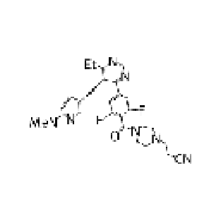 CCc1ncnc(-c2cc(F)c(C(=O)N3CCN(CCC#N)CC3)c(F)c2)c1C#Cc1ccc(NC)nc1